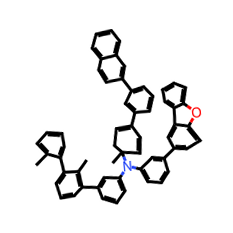 Cc1ccccc1-c1cccc(-c2cccc(N(c3cccc(-c4ccc5oc6ccccc6c5c4)c3)C3(C)C=CC(c4cccc(-c5ccc6ccccc6c5)c4)=CC3)c2)c1C